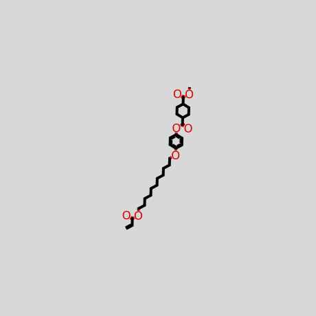 C=CC(=O)OCCCCCCCCCCCOc1ccc(OC(=O)C2CCC(C(=O)OC)CC2)cc1